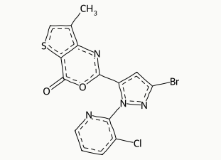 Cc1csc2c(=O)oc(-c3cc(Br)nn3-c3ncccc3Cl)nc12